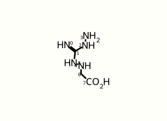 N=C(NN)NNCC(=O)O